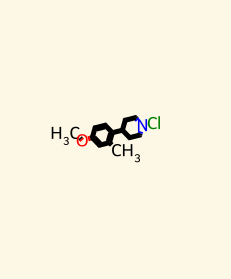 COc1ccc(C2CCN(Cl)CC2)c(C)c1